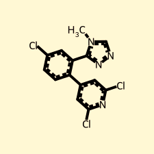 Cn1cnnc1-c1cc(Cl)ccc1-c1cc(Cl)nc(Cl)c1